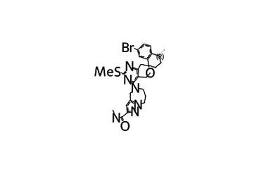 CSc1nc2c(c(N3CCCn4nc(C(=O)N(C)C)cc4C3)n1)COC1(CC[C@@H](C)c3ccc(Br)cc31)C2